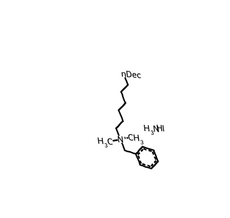 CCCCCCCCCCCCCCCC[N+](C)(C)Cc1ccccc1.I.N